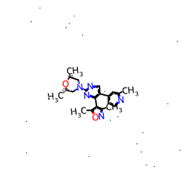 Cc1cc(-c2cnc(N3C[C@@H](C)O[C@@H](C)C3)nc2-c2c(C)noc2C)ccn1